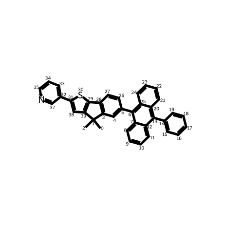 CC1(C)c2cc(-c3c4ccccc4c(-c4ccccc4)c4ccccc34)ccc2-c2sc(-c3cccnc3)cc21